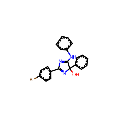 OC1(c2ccccc2)N=C(c2ccc(Br)cc2)N=C1Nc1ccccc1